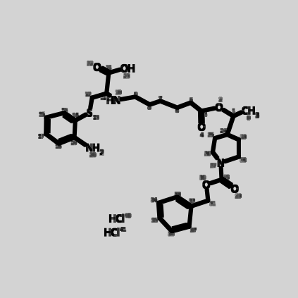 CC(OC(=O)CCCCCNC(CSc1ccccc1N)C(=O)O)C1CCN(C(=O)OCc2ccccc2)CC1.Cl.Cl